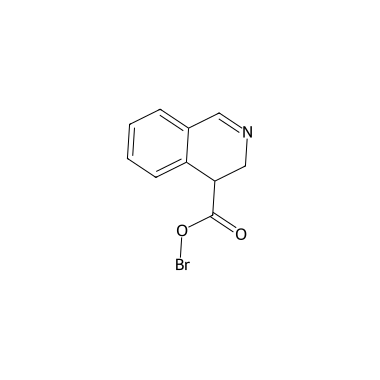 O=C(OBr)C1CN=Cc2ccccc21